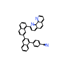 N#Cc1ccc(-c2cc(-c3ccc4cccc(-c5ccc6ccc7cccnc7c6n5)c4c3)cc3ccccc23)cc1